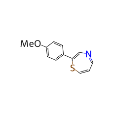 COc1ccc(C2=CN=CC=CS2)cc1